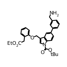 CCOC(=O)Cc1ccccc1OCc1cn(C(=O)OC(C)(C)C)c2ccc(-c3cccc(CN)c3)cc12